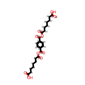 O=C(O)CCCCCCC(=O)OC(=O)c1ccc(C(=O)OC(=O)CCCCCCC(=O)O)cc1